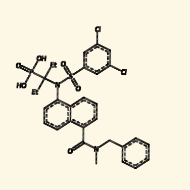 CCC(CC)(N(c1cccc2c(C(=O)N(C)Cc3ccccc3)cccc12)S(=O)(=O)c1cc(Cl)cc(Cl)c1)P(=O)(O)O